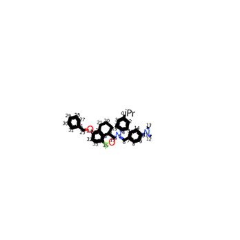 CC(C)c1ccc(N(Cc2ccc(N(C)C)cc2)C(=O)C2CCCc3c(OCc4ccccc4)ccc(F)c32)cc1